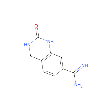 N=C(N)c1ccc2c(c1)NC(=O)NC2